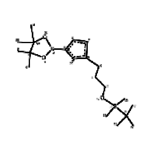 CC1(C)OB(c2ccc(CCCO[Si](C)(C)C(C)(C)C)s2)OC1(C)C